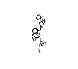 CN(C)C1(c2ccccc2)CCN(Cc2ccccc2OC(CCNCCF)c2cccs2)CC1